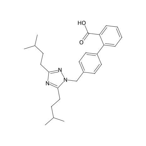 CC(C)CCc1nc(CCC(C)C)n(Cc2ccc(-c3ccccc3C(=O)O)cc2)n1